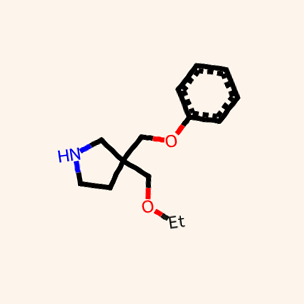 CCOCC1(COc2ccccc2)CCNC1